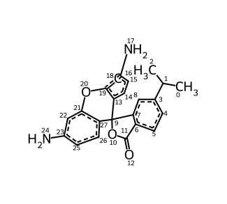 CC(C)c1ccc2c(c1)C1(OC2=O)c2ccc(N)cc2Oc2cc(N)ccc21